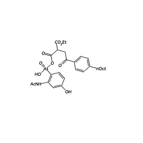 CCCCCCCCc1ccc(C(=O)CC(C(=O)OCC)C(=O)O[As](=O)(O)c2ccc(O)cc2NC(C)=O)cc1